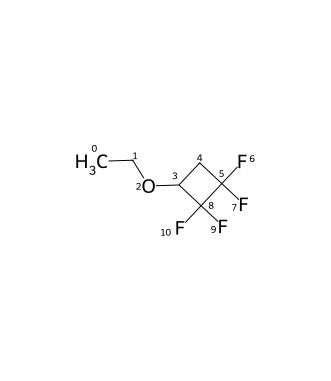 CCOC1CC(F)(F)C1(F)F